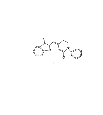 CN1c2ccccc2OC1C=C1C=C(Cl)[N+](c2ccccc2)=CC1.[Cl-]